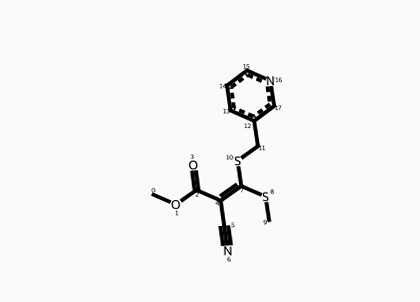 COC(=O)/C(C#N)=C(/SC)SCc1cccnc1